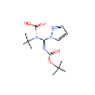 CC(C)(C)OC(=O)N=C(N(C(=O)O)C(C)(C)C)n1cccn1